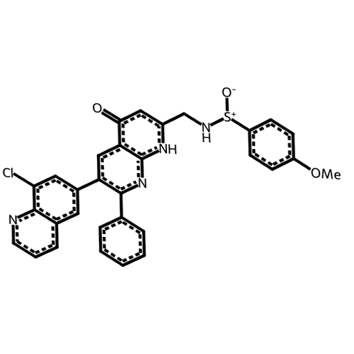 COc1ccc([S+]([O-])NCc2cc(=O)c3cc(-c4cc(Cl)c5ncccc5c4)c(-c4ccccc4)nc3[nH]2)cc1